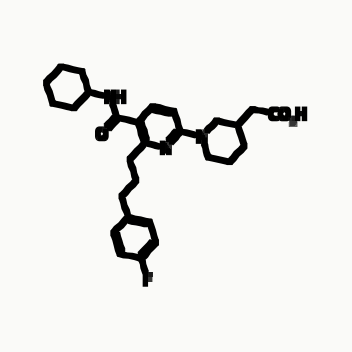 O=C(O)CC1CCCN(c2ccc(C(=O)NC3CCCCC3)c(CCCc3ccc(F)cc3)n2)C1